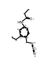 CCC(=O)Nc1ccc(CN=[N+]=[N-])c(CC)c1